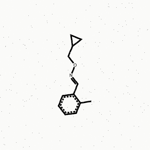 Cc1ccccc1/C=N/OCC1CC1